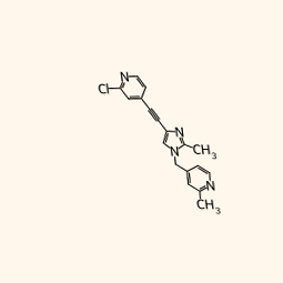 Cc1cc(Cn2cc(C#Cc3ccnc(Cl)c3)nc2C)ccn1